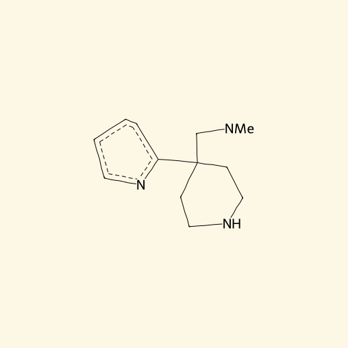 CNCC1(c2ccccn2)CCNCC1